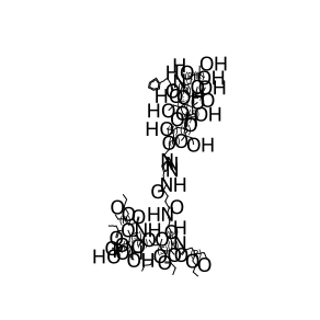 CCCCO[C@@H]1C(CO[C@@H]2OC(CO)[C@@H](OP(=O)(O)O)C(OC(=O)CC)[C@@H]2NC(=O)C[C@@H](CC)OC(=O)CC)O[C@@H](OCCNC(=O)CCC(=O)NCc2cn(CCO[C@@H]3OC(CO)[C@@H](O[C@@H]4OC(CO)[C@H](O)C(O[C@]5(C(=O)O)C[C@@H](O)[C@@H](NC(=O)Cc6ccccc6)C([C@H](O)[C@H](O)CO)O5)[C@@H]4O)C(O)[C@@H]3O)nn2)[C@@H](NC(=O)C[C@@H](CC)OC(=O)CC)C1OC(=O)CC